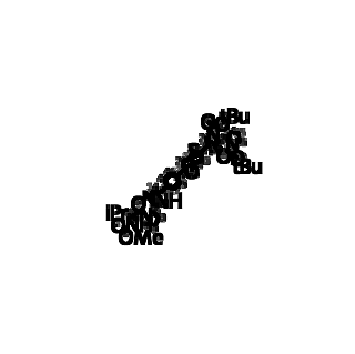 COC(=O)N[C@H](C(=O)N1CCC[C@H]1c1ncc(-c2ccc(-c3cc4sc(-c5cn(C(=O)OC(C)(C)C)c([C@@H]6CCCN6C(=O)OC(C)(C)C)n5)cc4o3)cc2)[nH]1)C(C)C